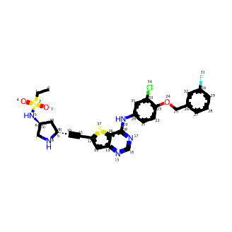 CCS(=O)(=O)N[C@@H]1CN[C@@H](C#Cc2cc3ncnc(Nc4ccc(OCc5cccc(F)c5)c(Cl)c4)c3s2)C1